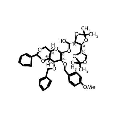 COc1ccc(CO[C@@H]2[C@H](OC(O)[C@@H]3OC(C)(C)O[C@H]3[C@H]3COC(C)(C)O3)O[C@@H]3COC(c4ccccc4)O[C@H]3[C@@H]2OCc2ccccc2)cc1